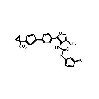 Cc1noc(-c2ccc(-c3ccc(C4(C(=O)O)CC4)cc3)cc2)c1NC(=O)Nc1cccc(Br)c1